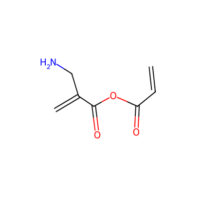 C=CC(=O)OC(=O)C(=C)CN